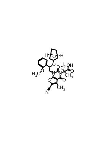 COc1ccccc1[C@H](Cn1c(=O)n(C(C)(C)C(=O)O)c(=O)c2c(C)c(C#N)sc21)OC1C[C@H]2CC[C@@H](C1)O2